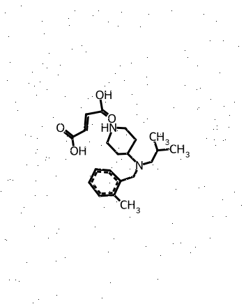 Cc1ccccc1CN(CC(C)C)C1CCNCC1.O=C(O)C=CC(=O)O